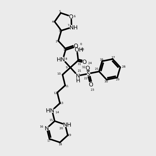 O=C(CC1CCON1)NC(CCCCNC1N=CCCN1)(NS(=O)(=O)c1ccccc1)C(=O)O